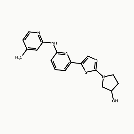 Cc1ccnc(Nc2cccc(-c3cnc(N4CCC(O)C4)s3)n2)c1